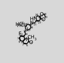 Cl.Cl.Cn1c(=O)ccc2ccc(F)c(CCN3CCC(NCc4cc5c(cn4)OCCO5)CC3)c21